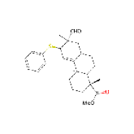 COC(=O)[C@]1(C)CCC[C@@]2(C)C3=C[C@@H](Sc4ccccc4)[C@](C)(C=O)CC3CCC12